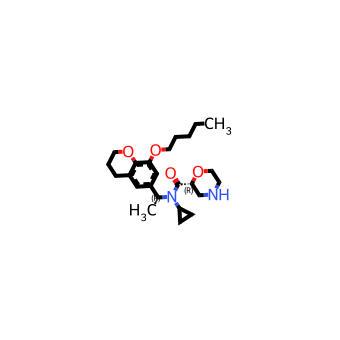 CCCCCOc1cc([C@@H](C)N(C(=O)[C@H]2CNCCO2)C2CC2)cc2c1OCCC2